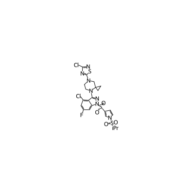 CC(C)S(=O)(=O)n1ccc(S(=O)(=O)n2nc(N3CCN(c4nc(Cl)ns4)CC34CC4)c3c(Cl)cc(F)cc32)c1